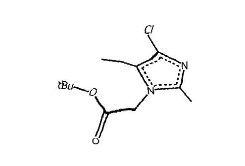 Cc1nc(Cl)c(C)n1CC(=O)OC(C)(C)C